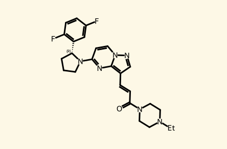 CCN1CCN(C(=O)C=Cc2cnn3ccc(N4CCC[C@@H]4c4cc(F)ccc4F)nc23)CC1